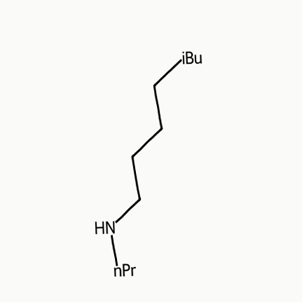 CCCNCCCCC(C)CC